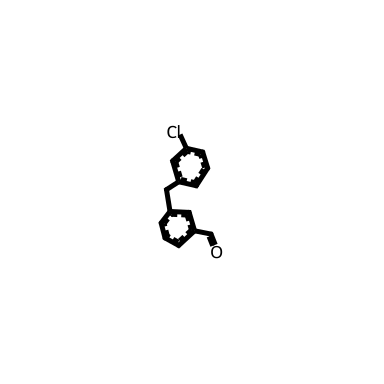 O=Cc1cccc(Cc2cccc(Cl)c2)c1